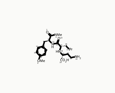 CNC(=O)[C@H](Cc1ccc(OC)cc1)NC(=O)[C@H](CC(C)C)N[C@H](CCN)C(=O)O